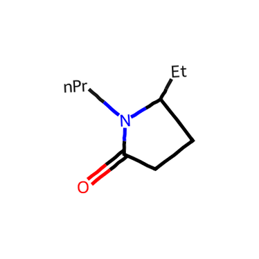 CCCN1C(=O)CCC1CC